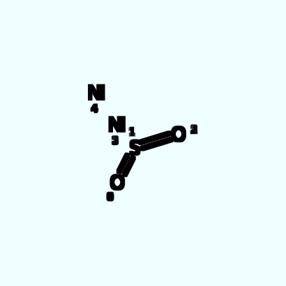 O=S=O.[Ni].[Ni]